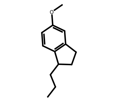 CCCC1CCc2cc(OC)ccc21